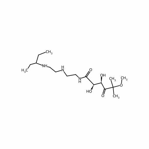 CCC(CC)NCCNCCNC(=O)[C@H](O)[C@@H](O)C(=O)C(C)(C)OC